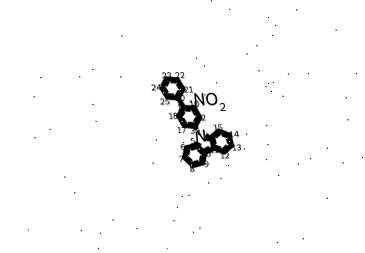 O=[N+]([O-])c1cc(-n2c3ccccc3c3ccccc32)ccc1-c1ccccc1